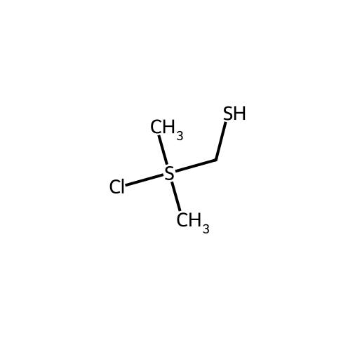 CS(C)(Cl)CS